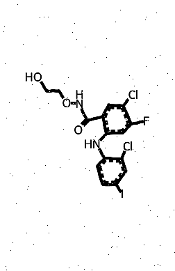 O=C(NOCCO)c1cc(Cl)c(F)cc1Nc1ccc(I)cc1Cl